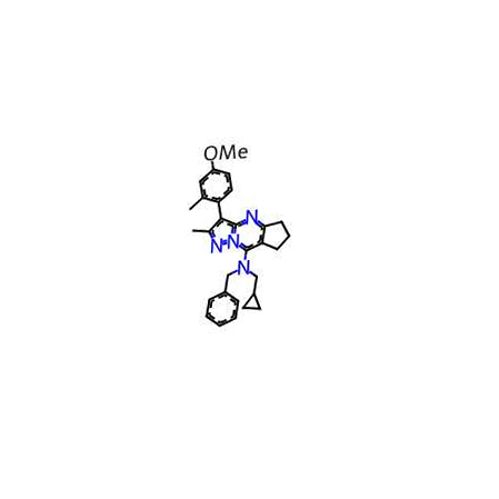 COc1ccc(-c2c(C)nn3c(N(Cc4ccccc4)CC4CC4)c4c(nc23)CCC4)c(C)c1